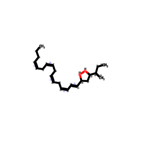 CCC/C=C\C/C=C\C/C=C\C/C=C\C=C\C1CC(C(C)CC)OO1